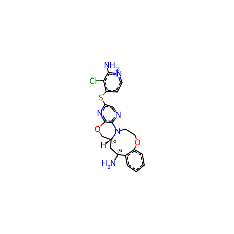 Nc1nccc(Sc2cnc3c(n2)OC[C@H]2C[C@H](N)c4ccccc4OCCN32)c1Cl